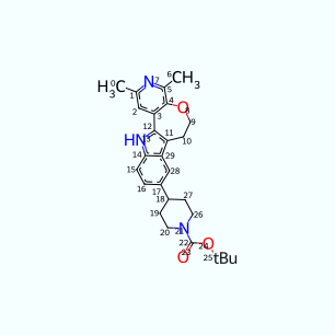 Cc1cc2c(c(C)n1)OCCc1c-2[nH]c2ccc(C3CCN(C(=O)OC(C)(C)C)CC3)cc12